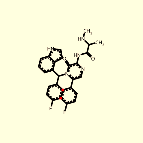 CNC(C)C(=O)Nc1ncc(-c2ccc(F)cc2)n(C(c2ccc(F)cc2)c2cccc3[nH]ccc23)c1=O